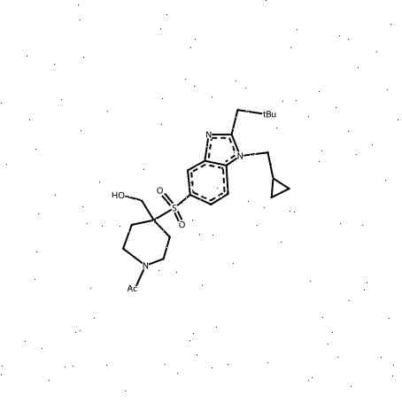 CC(=O)N1CCC(CO)(S(=O)(=O)c2ccc3c(c2)nc(CC(C)(C)C)n3CC2CC2)CC1